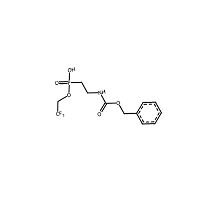 O=C(NCCP(=O)(O)OCC(F)(F)F)OCc1ccccc1